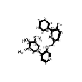 C[C@H]1CN(c2ccncc2NCc2ccc(F)c(C3=CCCCC3)n2)CC(N)C1O